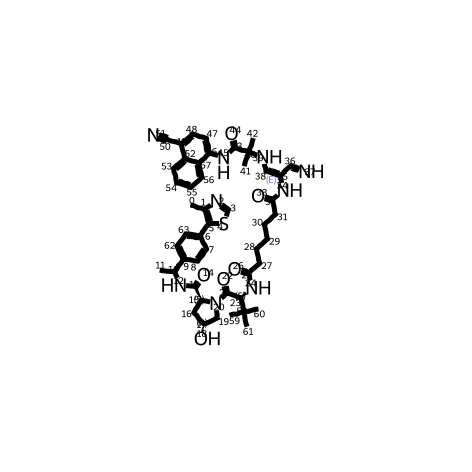 Cc1ncsc1-c1ccc(C(C)NC(=O)[C@@H]2C[C@@H](O)CN2C(=O)[C@@H](NC(=O)CCCCCC(=O)N/C(C=N)=C/NC(C)(C)C(=O)Nc2ccc(C#N)c3ccccc23)C(C)(C)C)cc1